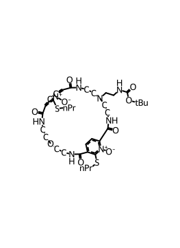 CCCSc1c2ccc([n+]1[O-])C(=O)NCCN(CCNC(=O)OC(C)(C)C)CCNC(=O)c1ccc(c(SCCC)[n+]1[O-])C(=O)NCCOCCNC2=O